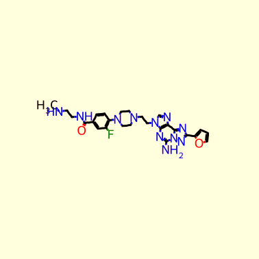 CNCCNC(=O)c1ccc(N2CCN(CCn3cnc4c3nc(N)n3nc(-c5ccco5)nc43)CC2)c(F)c1